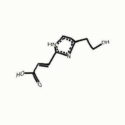 O=C(O)C=Cc1nc(CCO)c[nH]1